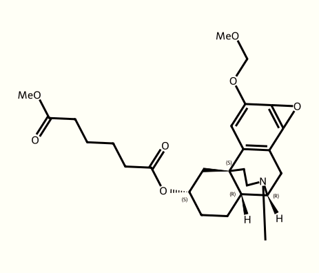 COCOc1cc2c(c3c1O3)C[C@@H]1[C@@H]3CC[C@H](OC(=O)CCCCC(=O)OC)C[C@]23CCN1C